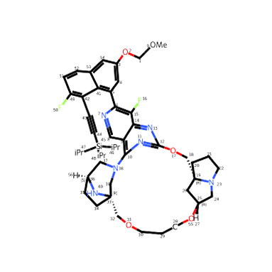 COCOc1cc(-c2ncc3c4nc(nc3c2F)OC[C@]23CCCN2C[C@@H](C3)OCCCOC[C@@]23CC[C@@H](CN4C2)N3)c2c(C#C[Si](C(C)C)(C(C)C)C(C)C)c(F)ccc2c1